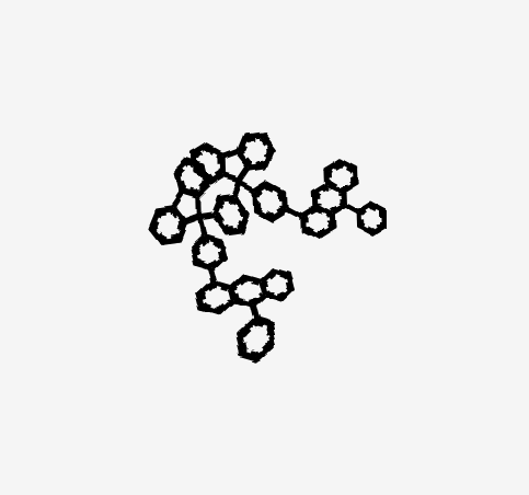 c1ccc(-c2c3ccccc3cc3c(-c4ccc(C5(c6cccc(C7(c8ccc(-c9cccc%10c(-c%11ccccc%11)c%11ccccc%11cc9%10)cc8)c8ccccc8-c8ccccc87)c6)c6ccccc6-c6ccccc65)cc4)cccc23)cc1